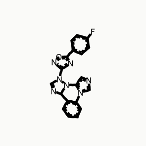 Fc1ccc(-c2nc(N3C=NC4c5ccccc5-n5cncc5N43)no2)cc1